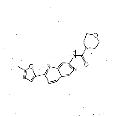 Cc1ncc(-c2ccc3cnc(NC(=O)N4CCOCC4)cc3n2)o1